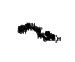 [N-]=[N+]=NC(COc1cccc(C(=O)NCCNC(=O)c2ccc(C(=O)O)c(C3=c4cc5c6c(c4Oc4c3cc3c7c4CCCN7CCC3)CCC[N+]=6CCC5)c2)c1)OCCOCC(=O)NCC#Cc1cn([C@H]2CC[C@@H](COP(=O)(O)OP(=O)(O)OP(=O)(O)O)O2)c2ncnc(N)c12